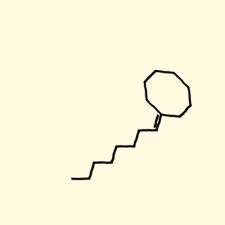 CCCCCCCC=C1CCCCCCC1